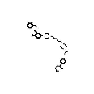 Cc1c([C@@H](C)Nc2nnc(C)c3ccc(N4CCN(CCCCCN5CCN(C(=O)CNc6ccc(C7CCC(=O)NC7=O)cc6)CC5)CC4)cc23)cccc1C(F)(F)F